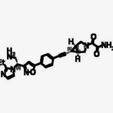 CCc1nccn1[C@H](CN)c1cc(-c2ccc(C#C[C@@H]3[C@H]4CN(C(=O)C(N)=O)C[C@@H]34)cc2)on1